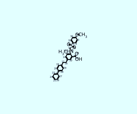 COc1ccc(S(=O)(=O)CNc2c(C)cc(CCc3ccc(-c4ccccc4)cc3)cc2C(=O)O)cc1